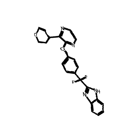 FC(F)(c1ccc(Oc2nccnc2C2CCOCC2)cc1)c1nc2ccccc2[nH]1